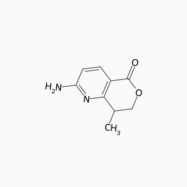 CC1COC(=O)c2ccc(N)nc21